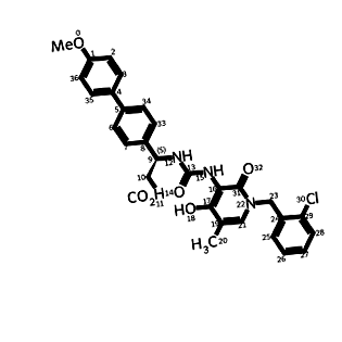 COc1ccc(-c2ccc([C@H](CC(=O)O)NC(=O)Nc3c(O)c(C)cn(Cc4ccccc4Cl)c3=O)cc2)cc1